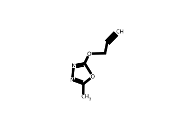 C#CCOc1nnc(C)o1